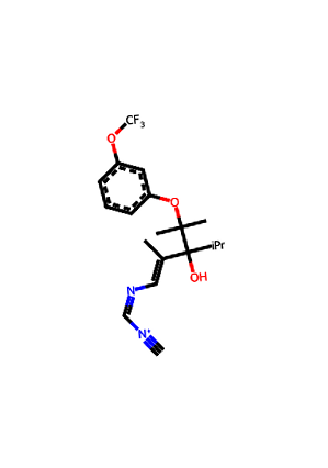 C#[N+]/C=N\C=C(/C)C(O)(C(C)C)C(C)(C)Oc1cccc(OC(F)(F)F)c1